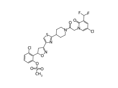 CS(=O)(=O)Oc1cccc(Cl)c1C1CC(c2csc(C3CCN(C(=O)Cn4cc(Cl)cc(C(F)F)c4=O)CC3)n2)=NO1